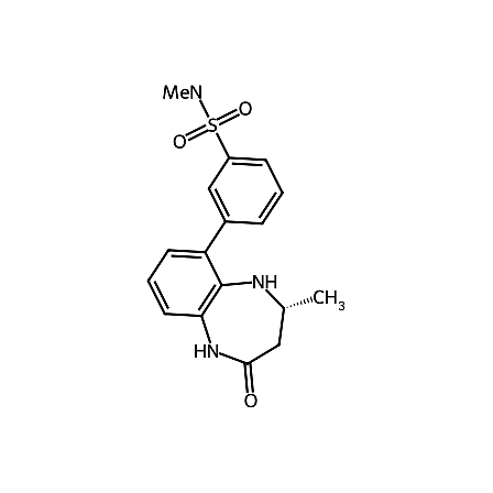 CNS(=O)(=O)c1cccc(-c2cccc3c2N[C@H](C)CC(=O)N3)c1